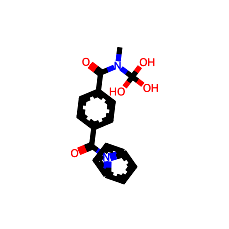 CN(C(=O)c1ccc(C(=O)n2c3ccc2cc3)cc1)C(O)(O)O